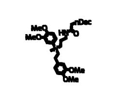 CCCCCCCCCCCC(=O)NCCC[N+](C)(CCc1ccc(OC)c(OC)c1)c1ccc(OC)c(OC)c1